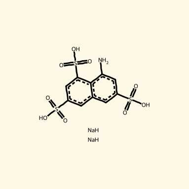 Nc1cc(S(=O)(=O)O)cc2cc(S(=O)(=O)O)cc(S(=O)(=O)O)c12.[NaH].[NaH]